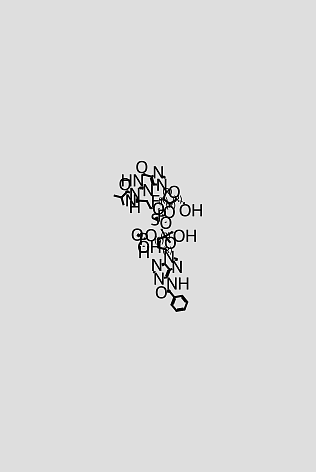 CC(C)C(=O)Nc1nc2c(ncn2[C@@H]2O[C@H](CO)[C@@H](OP(=S)(OCCC#N)OC[C@@]3(CO)O[C@@H](n4cnc5c(NC(=O)c6ccccc6)ncnc54)C[C@@H]3O[PH](=O)O)[C@H]2F)c(=O)[nH]1